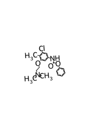 Cc1c(Cl)cc(NC(=O)Oc2ccccc2)cc1OCCN(C)C